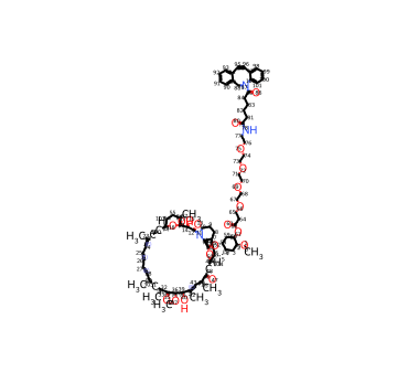 CO[C@@H]1C[C@H](C[C@H]2C3CCCN4C(=O)C(=O)[C@]5(O)O[C@H](CC/C(C)=C/C=C/C=C/[C@@H](C)C[C@@H](C)C(=O)[C@H](OC)[C@H](O)/C(C)=C/[C@@H](C)C(=O)C[C@@H]2OC(=O)[C@H]34)CC[C@H]5C)CC[C@H]1OC(=O)CCOCCOCCOCCOCCNC(=O)CCCCC(=O)N1Cc2ccccc2C#Cc2ccccc21